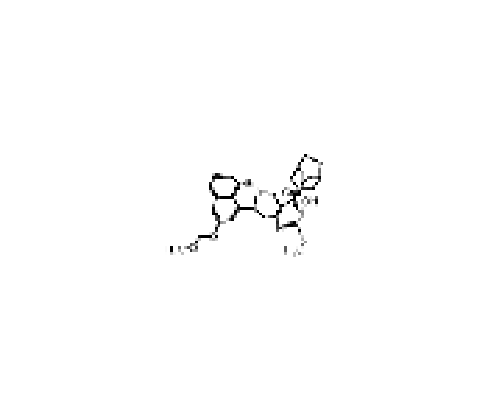 COCOc1cc(C2Cc3nc(SC)nc(N4CC5CCC(C4)N5C(=O)O)c3CO2)c2c(Br)cccc2c1